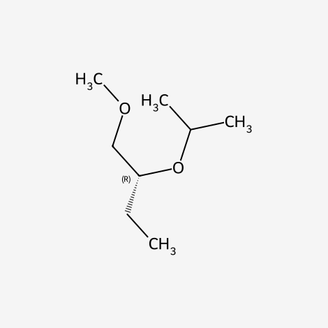 CC[C@H](COC)OC(C)C